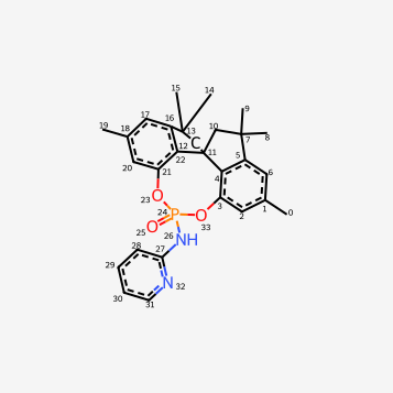 Cc1cc2c3c(c1)C(C)(C)CC31CC(C)(C)c3cc(C)cc(c31)OP(=O)(Nc1ccccn1)O2